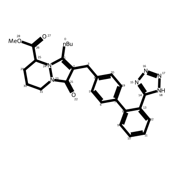 CCCCc1c(Cc2ccc(-c3ccccc3-c3nnn[nH]3)cc2)c(=O)n2n1C(C(=O)OC)CCC2